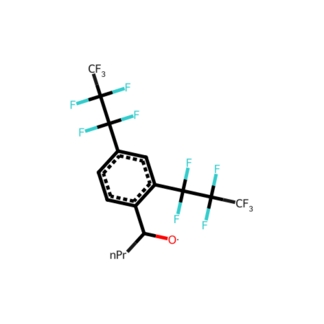 CCCC([O])c1ccc(C(F)(F)C(F)(F)C(F)(F)F)cc1C(F)(F)C(F)(F)C(F)(F)F